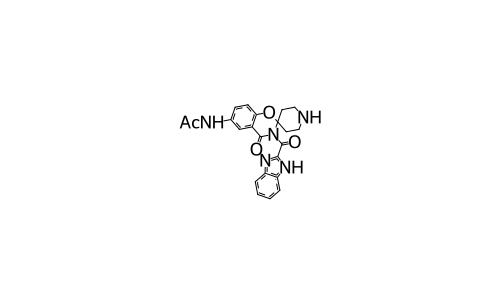 CC(=O)Nc1ccc2c(c1)C(=O)N(C(=O)c1nc3ccccc3[nH]1)C1(CCNCC1)O2